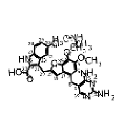 CNC.COc1cc(Cc2cnc(N)nc2N)c2cc(Cc3c(C(=O)O)[nH]c4ccc(Cl)cc34)oc2c1OC